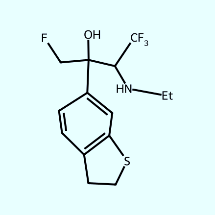 CCNC(C(F)(F)F)C(O)(CF)c1ccc2c(c1)SCC2